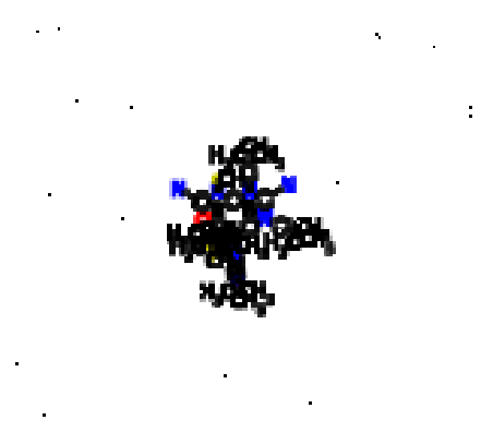 CSN1c2cc3c(cc2B2c4cc5c(cc4Oc4cc(C#N)cc1c42)N(SC)c1cc(C#N)cc2c1B5c1cc(C(C)(C)C)ccc1N2c1ccc(C(C)(C)C)cc1)B1c2cc(C(C)(C)C)ccc2N(c2ccc(C(C)(C)C)cc2)c2cc(C#N)cc(c21)N3c1ccc(C(C)(C)C)cc1